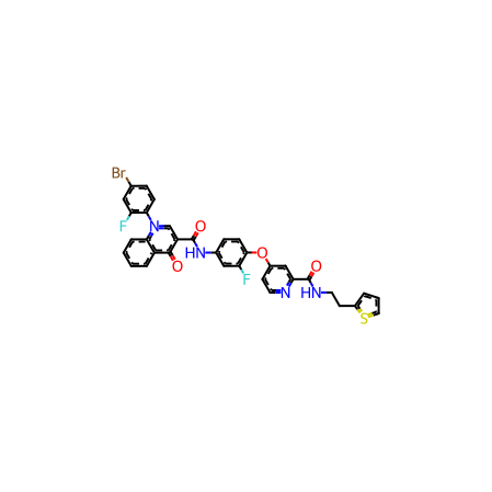 O=C(NCCc1cccs1)c1cc(Oc2ccc(NC(=O)c3cn(-c4ccc(Br)cc4F)c4ccccc4c3=O)cc2F)ccn1